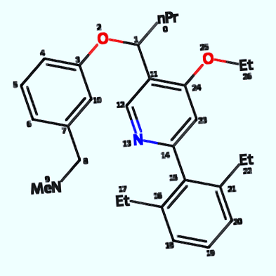 CCCC(Oc1cccc(CNC)c1)c1cnc(-c2c(CC)cccc2CC)cc1OCC